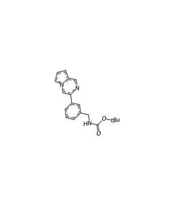 CC(C)(C)OC(=O)NCc1cccc(-c2cn3cccc3cn2)c1